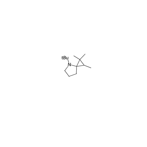 CC1C(C)(C)C12CCCN2C(C)(C)C